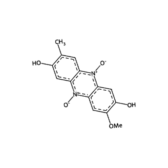 COc1cc2c(cc1O)[n+]([O-])c1cc(C)c(O)cc1[n+]2[O-]